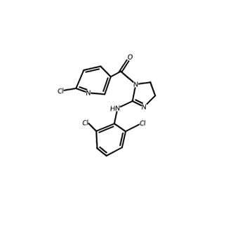 O=C(c1ccc(Cl)nc1)N1CCN=C1Nc1c(Cl)cccc1Cl